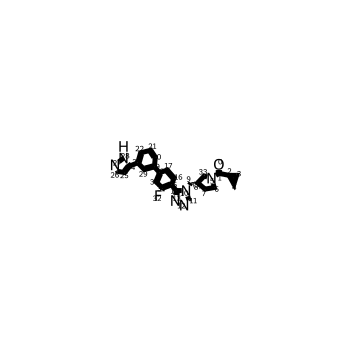 O=C(C1CC1)N1CC[C@H](Cn2cnnc2-c2ccc(-c3cccc(-c4ccn[nH]4)c3)cc2F)C1